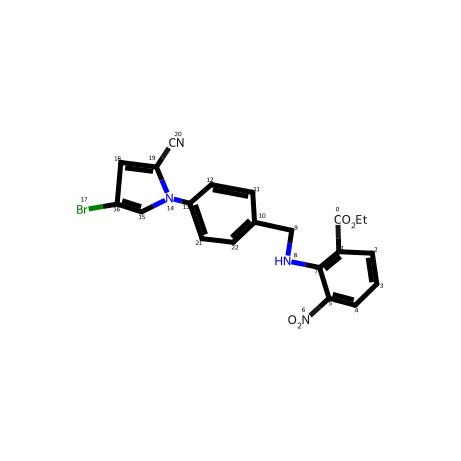 CCOC(=O)c1cccc([N+](=O)[O-])c1NCc1ccc(-n2cc(Br)cc2C#N)cc1